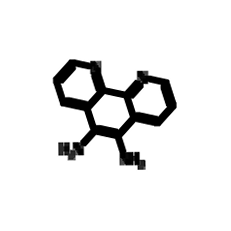 Nc1c(N)c2cccnc2c2ncccc12